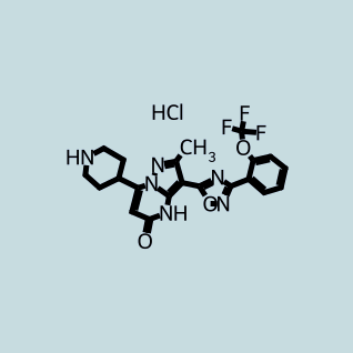 Cc1nn2c(C3CCNCC3)cc(=O)[nH]c2c1-c1nc(-c2ccccc2OC(F)(F)F)no1.Cl